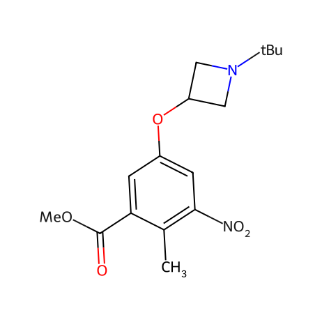 COC(=O)c1cc(OC2CN(C(C)(C)C)C2)cc([N+](=O)[O-])c1C